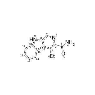 CCc1c(C(N)=O)ncc2[nH]c3ccccc3c12